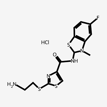 CN1c2cc(F)ccc2SC1NC(=O)c1csc(SCCN)n1.Cl